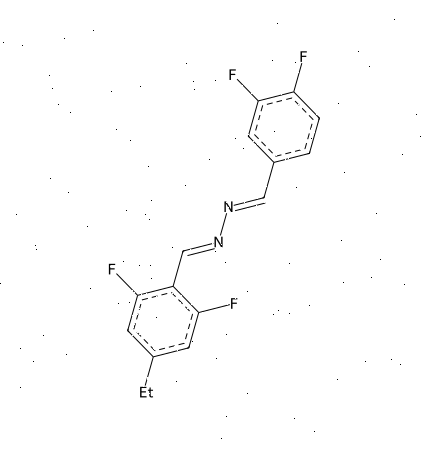 CCc1cc(F)c(C=NN=Cc2ccc(F)c(F)c2)c(F)c1